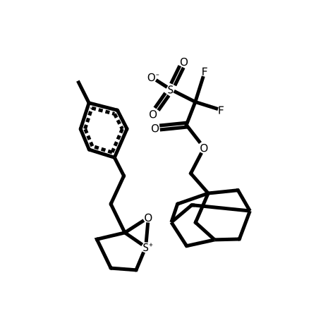 Cc1ccc(CCC23CCC[S+]2O3)cc1.O=C(OCC12CC3CC(CC(C3)C1)C2)C(F)(F)S(=O)(=O)[O-]